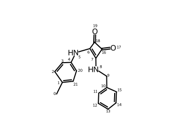 Cc1ccc(Nc2c(NCc3ccccc3)c(=O)c2=O)cc1